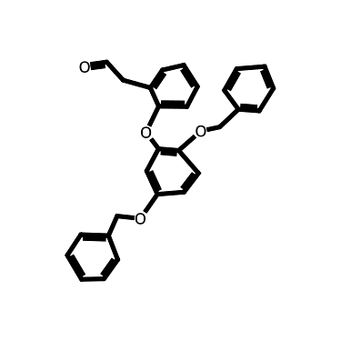 O=CCc1ccccc1Oc1cc(OCc2ccccc2)ccc1OCc1ccccc1